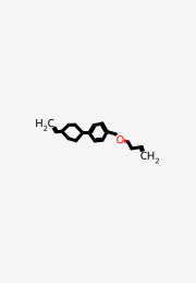 C=CCCOCc1ccc(C2CCC(C=C)CC2)cc1